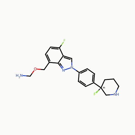 NCOCc1ccc(F)c2cn(-c3ccc([C@]4(F)CCCNC4)cc3)nc12